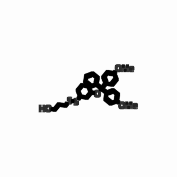 COc1ccc(C(OC2CCCC(SSCCCO)C2)(c2ccccc2)c2ccc(OC)cc2)cc1